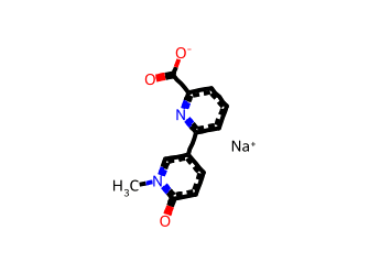 Cn1cc(-c2cccc(C(=O)[O-])n2)ccc1=O.[Na+]